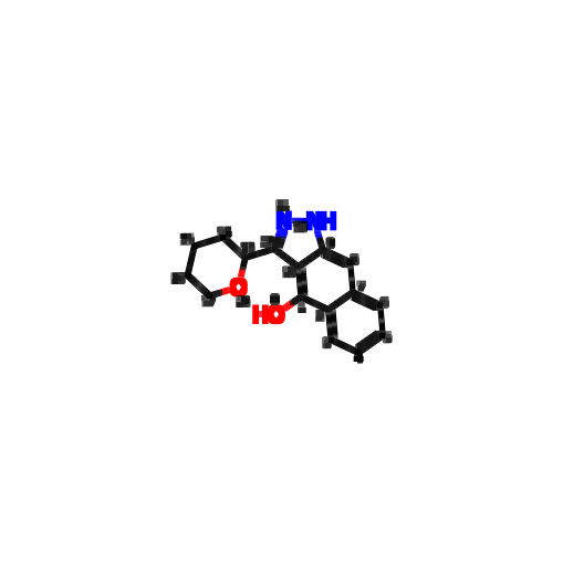 Oc1c2ccccc2cc2[nH]nc(C3CCCCO3)c12